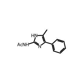 CC(=O)Nc1nc(-c2ccccc2)c(C)[nH]1